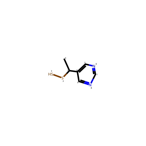 CC(SS)c1cncnc1